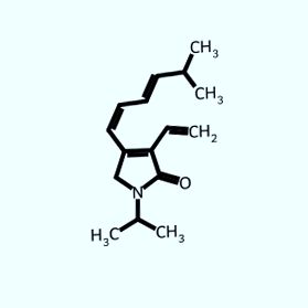 C=CC1=C(/C=C\C=C\C(C)C)CN(C(C)C)C1=O